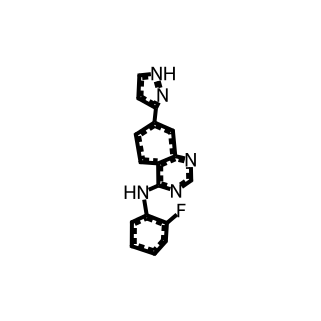 Fc1ccccc1Nc1ncnc2cc(-c3cc[nH]n3)ccc12